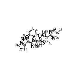 COc1cccc(OC)c1-n1c(NSC(C)C(OC)c2ncc(C)cn2)nnc1-c1cnn2c1CCC2